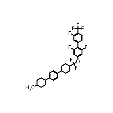 CC1CCC(c2ccc(C3CCC(C(F)(F)Oc4cc(F)c(-c5ccc(C(F)(F)F)c(F)c5)c(F)c4)CC3)cc2)CC1